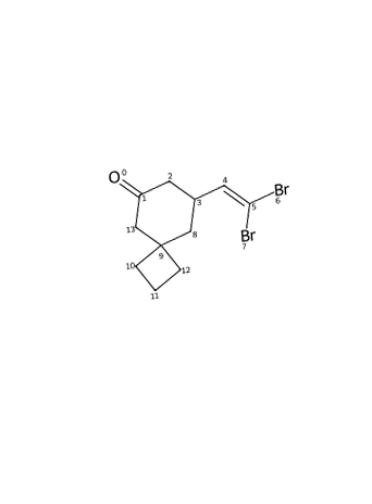 O=C1CC(C=C(Br)Br)CC2(CCC2)C1